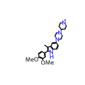 COc1ccc(-c2[nH]c3ccc(N4CCN(C5CCN(C)CC5)CC4)cc3c2C)cc1OC